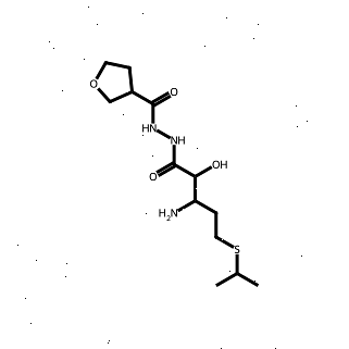 CC(C)SCCC(N)C(O)C(=O)NNC(=O)C1CCOC1